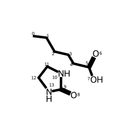 CCCCCC(=O)O.O=C1NCCN1